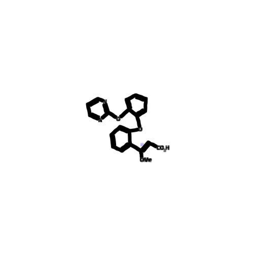 CO/C(=C\C(=O)O)c1ccccc1Oc1ccccc1Oc1ncccn1